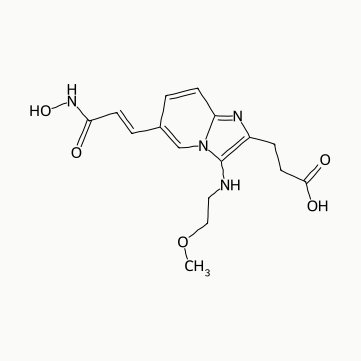 COCCNc1c(CCC(=O)O)nc2ccc(/C=C/C(=O)NO)cn12